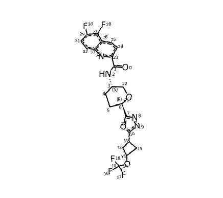 O=C(N[C@H]1CC[C@H](c2nnc(C3CC(OC(F)(F)F)C3)o2)OC1)c1ccc2c(F)c(F)ccc2n1